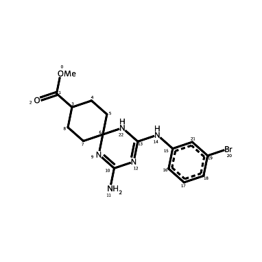 COC(=O)C1CCC2(CC1)N=C(N)N=C(Nc1cccc(Br)c1)N2